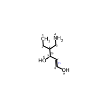 CCC(CN)[C@H](O)/C=C/O